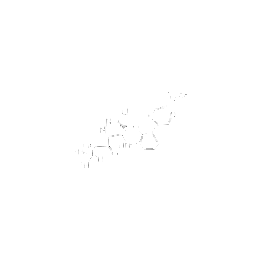 [2H]C([2H])([2H])NC(=O)c1nnc(Cl)cc1Nc1cccc(-c2cnc(N(C)C(C)=O)cn2)c1OC